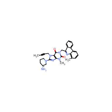 CC#CCn1c(N2CCC[C@@H](N)C2)nc2c1c(=O)n(Cc1nc3c(C)cccc3c3ccccc13)c(=O)n2C